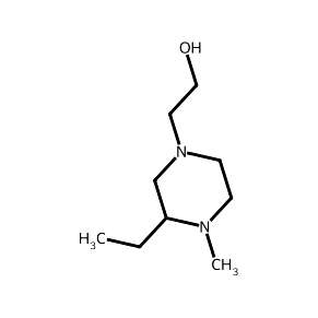 CCC1CN(CCO)CCN1C